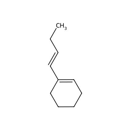 CCC=CC1=CCCCC1